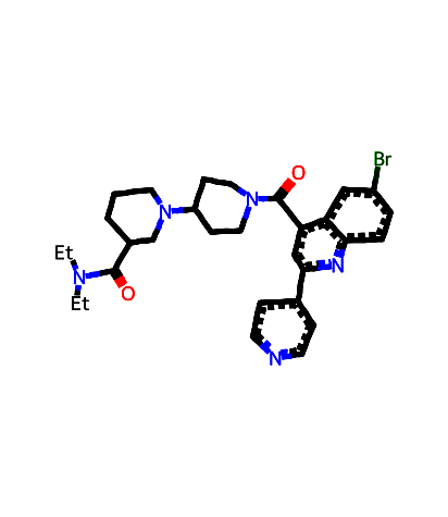 CCN(CC)C(=O)C1CCCN(C2CCN(C(=O)c3cc(-c4ccncc4)nc4ccc(Br)cc34)CC2)C1